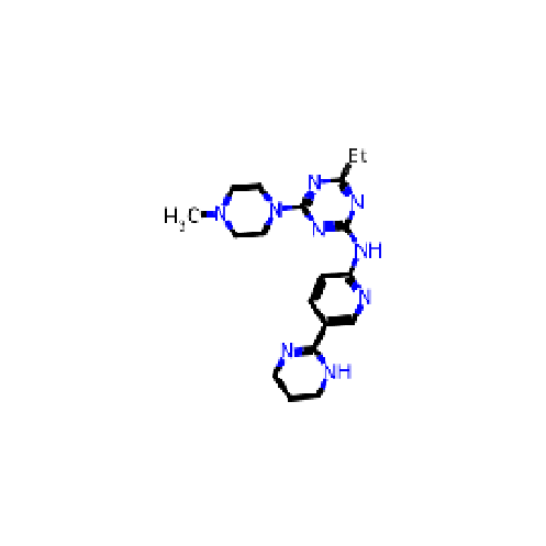 CCc1nc(Nc2ccc(C3=NCCCN3)cn2)nc(N2CCN(C)CC2)n1